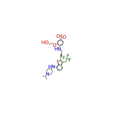 CC(C)N1CCC(Nc2cccc3c(CC(F)(F)F)c(C#CCNc4ccc(S(C)(=O)=O)cc4OCCO)sc23)CC1